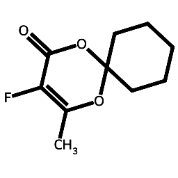 CC1=C(F)C(=O)OC2(CCCCC2)O1